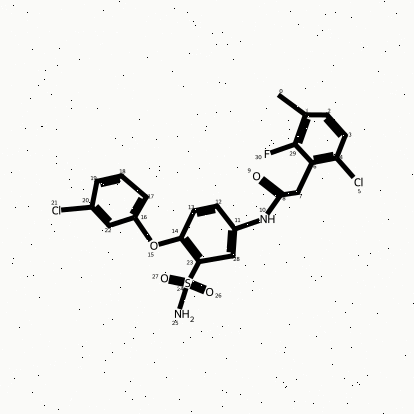 Cc1ccc(Cl)c(CC(=O)Nc2ccc(Oc3cccc(Cl)c3)c(S(N)(=O)=O)c2)c1F